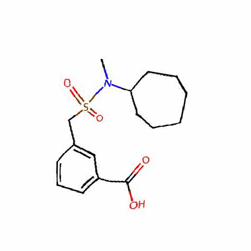 CN(C1CCCCCC1)S(=O)(=O)Cc1cccc(C(=O)O)c1